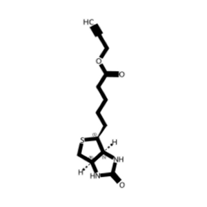 C#CCOC(=O)CCCC[C@@H]1SC[C@@H]2NC(=O)N[C@@H]21